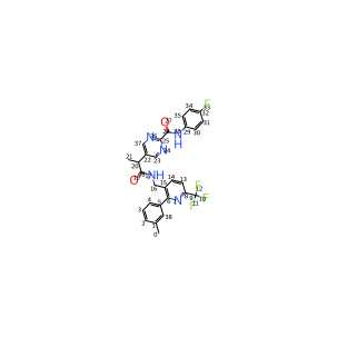 Cc1cccc(-c2nc(C(F)(F)F)ccc2CNC(=O)C(C)c2cnc(C(=O)Nc3ccc(F)cc3)nc2)c1